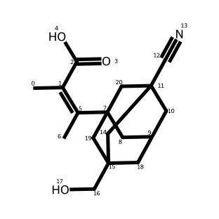 CC(C(=O)O)=C(C)C12CC3CC(C#N)(CC(CO)(C3)C1)C2